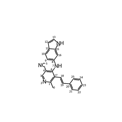 Cc1ncc(C#N)c(Nc2ccc3cc[nH]c3c2)c1C=Cc1ccccc1